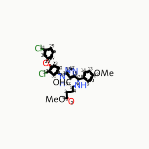 COC(=O)CCCNC(c1ccc(OC)cc1)c1ncnc(Nc2ccc(Oc3cccc(Cl)c3)c(Cl)c2)c1C=O